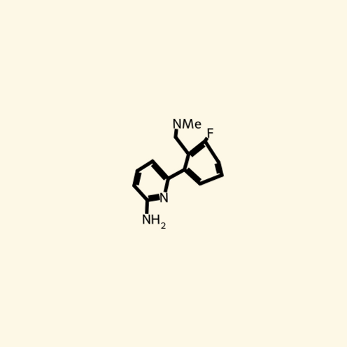 CNCc1c(F)cccc1-c1cccc(N)n1